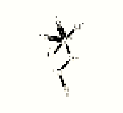 CCO[O][V](=[O])(=[O])([Cl])[Cl]